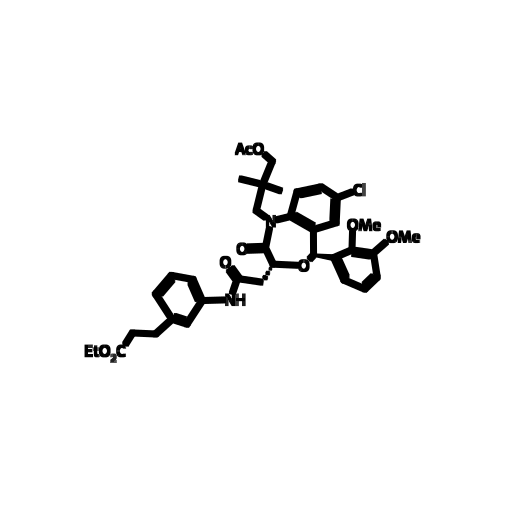 CCOC(=O)CCc1cccc(NC(=O)C[C@H]2O[C@H](c3cccc(OC)c3OC)c3cc(Cl)ccc3N(CC(C)(C)COC(C)=O)C2=O)c1